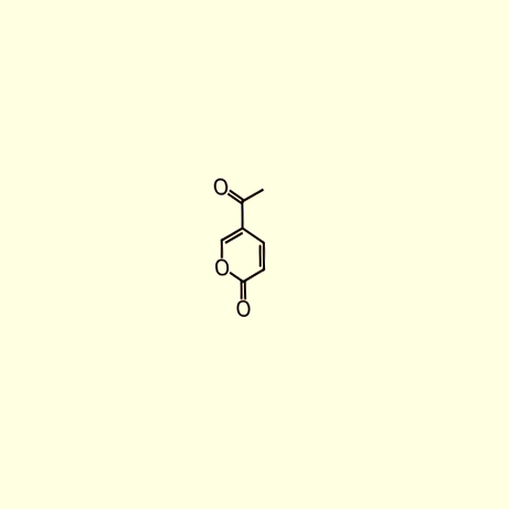 CC(=O)c1ccc(=O)oc1